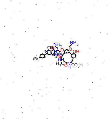 Cc1cc(-c2ccc(C(C)(C)C)cc2)nc(C)c1C(=O)N[C@@H](CCN)C(=O)N(C)[C@@H]1C(=O)N[C@@H](C)C(=O)N[C@H](C(=O)O)Cc2ccc(O)c(c2)-c2cc1ccc2OCCN